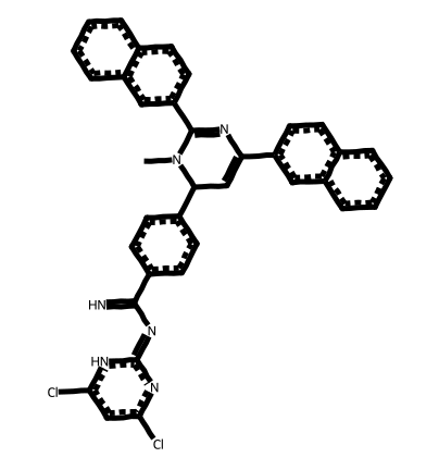 CN1C(c2ccc3ccccc3c2)=NC(c2ccc3ccccc3c2)=CC1c1ccc(C(=N)/N=c2/nc(Cl)cc(Cl)[nH]2)cc1